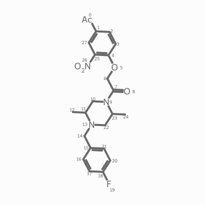 CC(=O)c1ccc(OCC(=O)N2CC(C)N(Cc3ccc(F)cc3)CC2C)c([N+](=O)[O-])c1